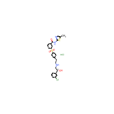 Cc1cnc(NC(=O)c2cccc(S(=O)(=O)c3ccc(CCNC[C@H](O)c4cccc(Cl)c4)cc3)c2)s1.Cl